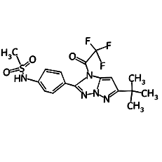 CC(C)(C)c1cc2n(C(=O)C(F)(F)F)c(-c3ccc(NS(C)(=O)=O)cc3)nn2n1